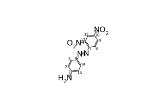 Nc1ccc(/N=N/c2ccc([N+](=O)[O-])cc2[N+](=O)[O-])cc1